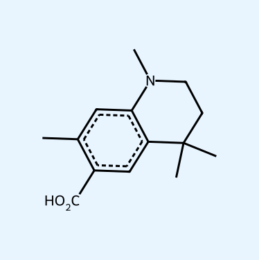 Cc1cc2c(cc1C(=O)O)C(C)(C)CCN2C